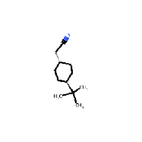 CC(C)(C)[C@H]1CC[C@H](CC#N)CC1